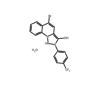 O.OC1=C2C=C(Br)c3ccccc3N2NN1c1ccc(C(F)(F)F)cc1